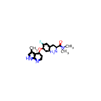 Cc1c[nH]c2nccc(Oc3ccc(C[C@H](N)C(=O)N(C)C)cc3F)c12